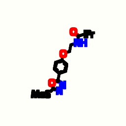 CSc1nnc(-c2ccc(OCCNC(=O)C(C)C)cc2)o1